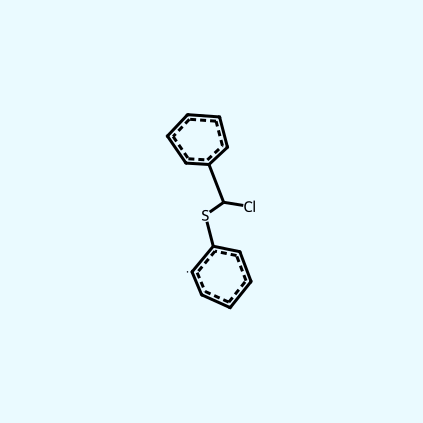 ClC(Sc1[c]cccc1)c1ccccc1